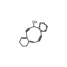 OC1C#CC2=CCCCC2=CC#Cc2ccccc21